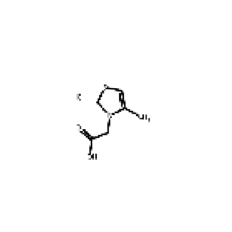 CC1=CSCN1CC(=O)O.Cl